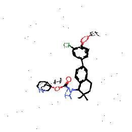 CCOc1ccc(-c2ccc3c(c2)CCC(C)(C)C3NC(=O)O[C@H]2CN3CCC2CC3)cc1Cl